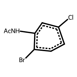 CC(=O)Nc1cc(Cl)ccc1Br